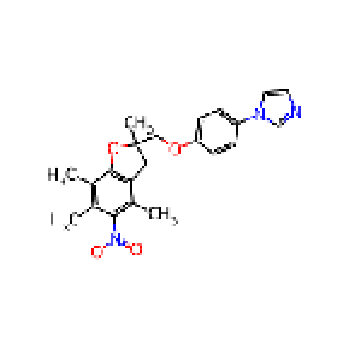 Cc1c(C)c([N+](=O)[O-])c(C)c2c1OC(C)(COc1ccc(-n3ccnc3)cc1)C2